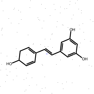 Oc1cc(O)cc(/C=C/C2=CCC(O)C=C2)c1